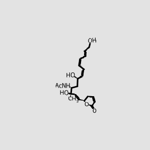 CC(=O)N[C@H](C[C@@H](O)\C=C/C=C\C=C\CO)[C@](C)(O)/C=C/[C@H]1CC=CC(=O)O1